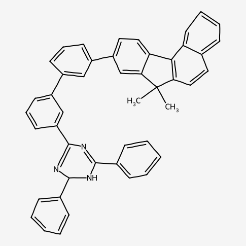 CC1(C)c2cc(-c3cccc(-c4cccc(C5=NC(c6ccccc6)NC(c6ccccc6)=N5)c4)c3)ccc2-c2c1ccc1ccccc21